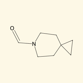 O=CN1CCC2(CC1)CC2